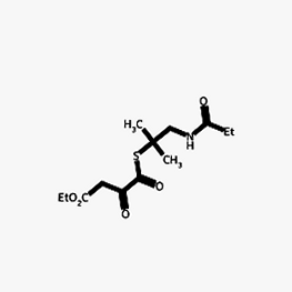 CCOC(=O)CC(=O)C(=O)SC(C)(C)CNC(=O)CC